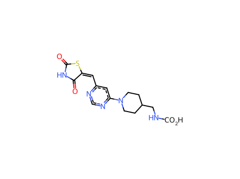 O=C(O)NCC1CCN(c2cc(/C=C3/SC(=O)NC3=O)ncn2)CC1